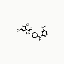 CN(C)c1ccnc(N[C@H]2CC[C@@H](NC(=O)c3cc(Cl)sc3Cl)CC2)n1